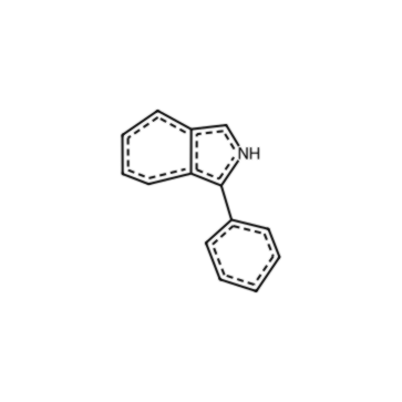 c1ccc(-c2[nH]cc3ccccc23)cc1